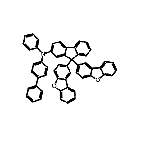 c1ccc(-c2ccc(N(c3ccccc3)c3ccc4c(c3)C(c3ccc5oc6ccccc6c5c3)(c3ccc5oc6ccccc6c5c3)c3ccccc3-4)cc2)cc1